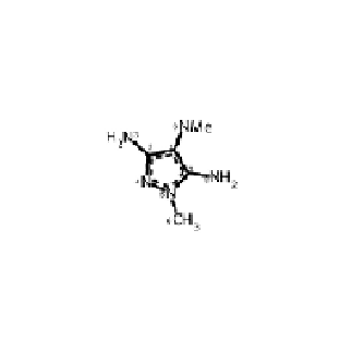 CNc1c(N)nn(C)c1N